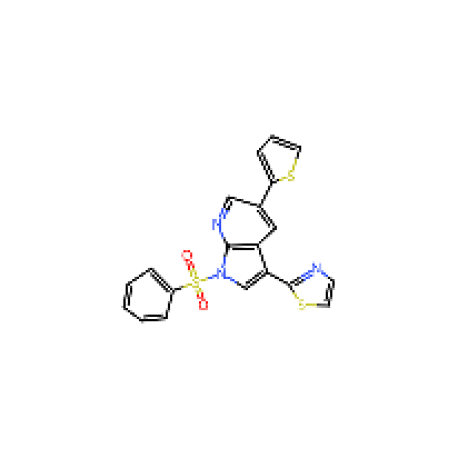 O=S(=O)(c1ccccc1)n1cc(-c2nccs2)c2cc(-c3cccs3)cnc21